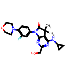 CC1(C)C(=O)N(c2ccc(N3CCOCC3)c(F)c2)c2nc(CO)nc(NC3CC3)c21